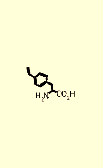 C=Cc1ccc(CC(N)C(=O)O)cc1